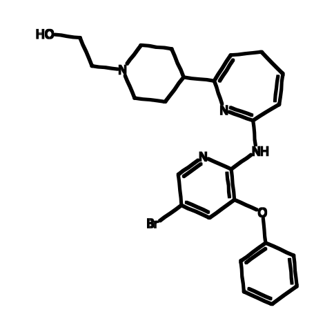 OCCN1CCC(C2=CCC=CC(Nc3ncc(Br)cc3Oc3ccccc3)=N2)CC1